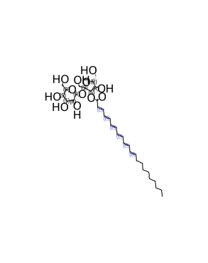 CCCCCCCCC/C=C/C=C/C=C/C=C/C=C/C=C/C(=O)O[C@H]1[C@H](O)[C@@H](CO)O[C@@]1(CO)O[C@H]1O[C@H](CO)[C@@H](O)[C@H](O)[C@H]1O